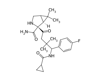 CC(C)(CC(=O)[C@@]1(C(N)=O)NCC2[C@H]1C2(C)C)C(NC(=O)C1CC1)c1ccc(F)cc1